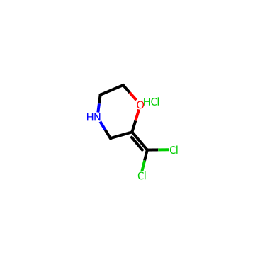 Cl.ClC(Cl)=C1CNCCO1